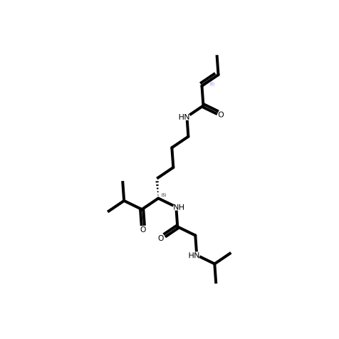 C/C=C/C(=O)NCCCC[C@H](NC(=O)CNC(C)C)C(=O)C(C)C